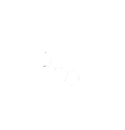 Cc1cccc([C@@H](C)N[C@@H](CO)CC(C)(C)C(F)(F)F)c1